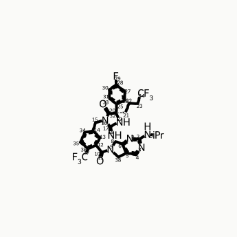 CC(C)Nc1ncc2c(n1)CN(C(=O)c1cc(CN3C(=N)N[C@](CCCC(F)(F)F)(c4ccc(F)cc4)C3=O)ccc1C(F)(F)F)C2